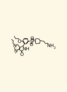 CCCOc1ccc(S(=O)(=O)N2CCC(CCCN)CC2)cc1C1NC(=O)C2=C1CN(CCC)CN2C